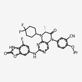 CC(C)Oc1ccc(N2C(=O)[C@@H](C)N(C3CCC(F)(F)CC3)c3nc(Nc4cc(F)c5[nH]c(=O)oc5c4)ncc32)cc1C#N